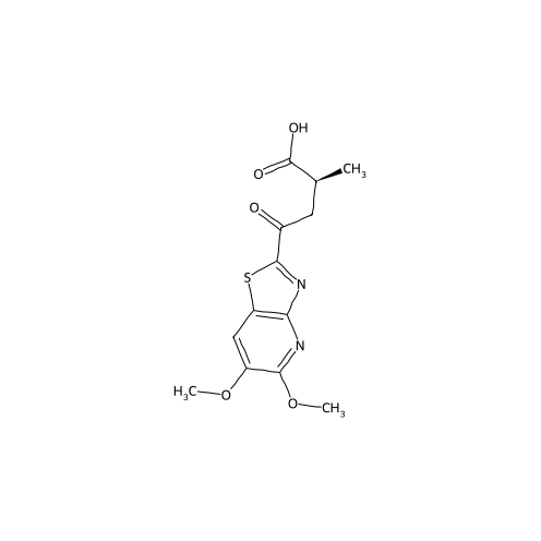 COc1cc2sc(C(=O)C[C@H](C)C(=O)O)nc2nc1OC